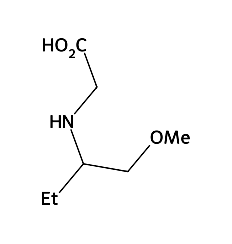 CCC(COC)NCC(=O)O